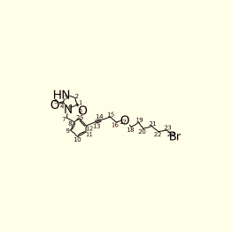 O=C1CNC(=O)N1Cc1cccc(C#CCCOCCCCCCBr)c1